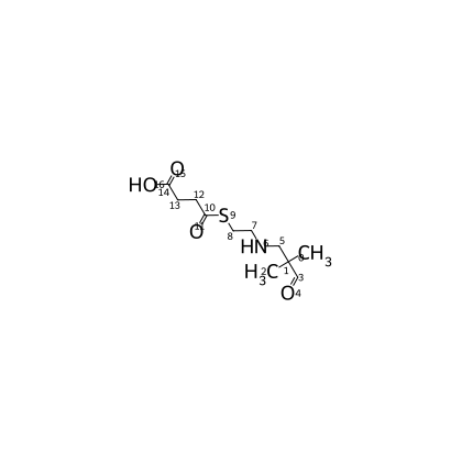 CC(C)(C=O)CNCCSC(=O)CCC(=O)O